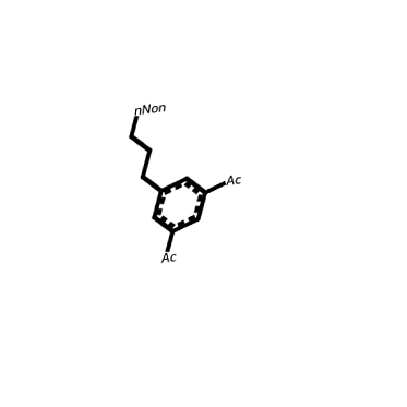 CCCCCCCCCCCCc1cc(C(C)=O)cc(C(C)=O)c1